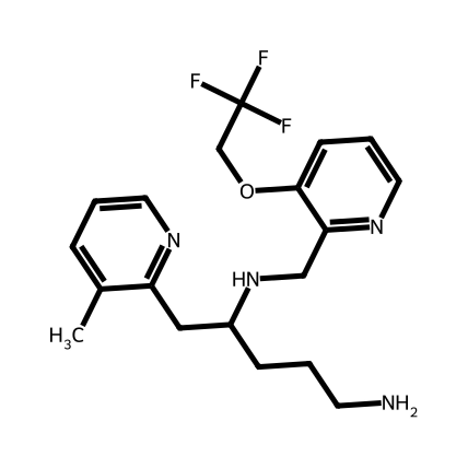 Cc1cccnc1CC(CCCN)NCc1ncccc1OCC(F)(F)F